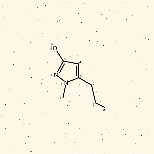 CCCc1cc(O)nn1C